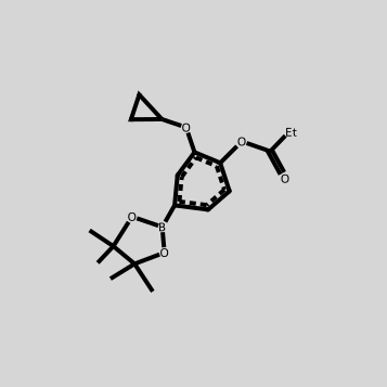 CCC(=O)Oc1ccc(B2OC(C)(C)C(C)(C)O2)cc1OC1CC1